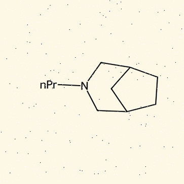 CCCN1CC2CCC(C2)C1